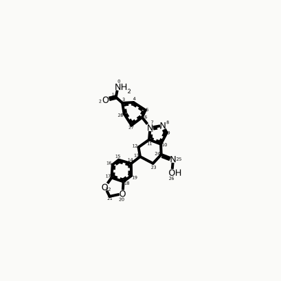 NC(=O)c1ccc(-n2ncc3c2CC(c2ccc4c(c2)OCO4)CC3=NO)cc1